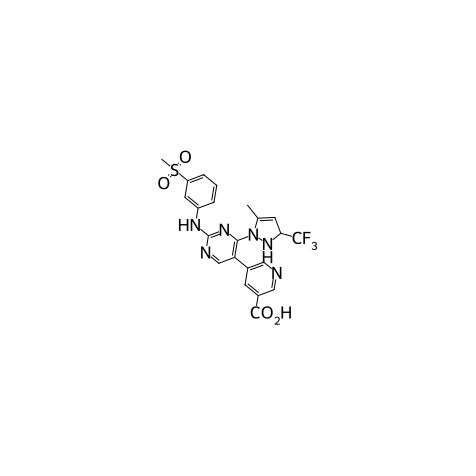 CC1=CC(C(F)(F)F)NN1c1nc(Nc2cccc(S(C)(=O)=O)c2)ncc1-c1cncc(C(=O)O)c1